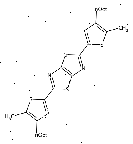 CCCCCCCCc1cc(-c2nc3sc(-c4cc(CCCCCCCC)c(C)s4)nc3s2)sc1C